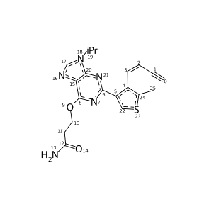 C#C/C=C\c1c(-c2nc(OCCC(N)=O)c3ncn(C(C)C)c3n2)csc1C